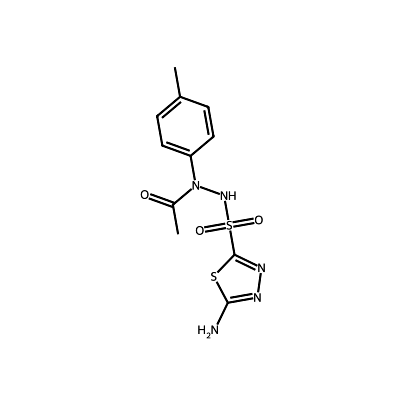 CC(=O)N(NS(=O)(=O)c1nnc(N)s1)c1ccc(C)cc1